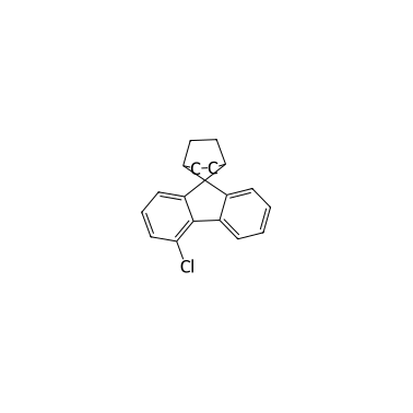 Clc1cccc2c1-c1ccccc1C21C2CCC1CC2